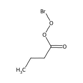 CCCC(=O)OOBr